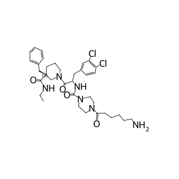 CCNC(=O)[C@]1(Cc2ccccc2)CCCN(C(=O)C(Cc2ccc(Cl)c(Cl)c2)NC(=O)N2CCN(C(=O)CCCCCN)CC2)C1